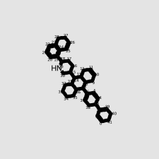 C1=CC(C2C=CC(C3C4CC=CCC4C(C4CCC(c5cccc6c5C=CCC6)NC4)C4CCCCC43)=CC2)=CCC1